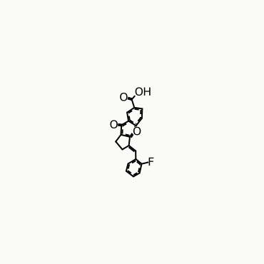 O=C(O)c1ccc2oc3c(c(=O)c2c1)CC/C3=C\c1ccccc1F